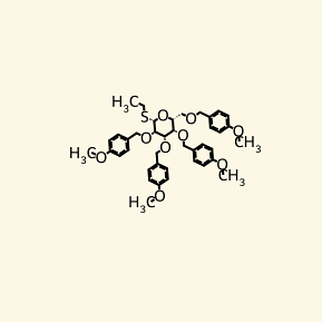 CCS[C@@H]1O[C@H](COCc2ccc(OC)cc2)[C@H](OCc2ccc(OC)cc2)[C@H](OCc2ccc(OC)cc2)[C@H]1OCc1ccc(OC)cc1